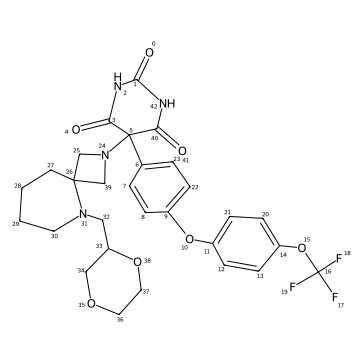 O=C1NC(=O)C(c2ccc(Oc3ccc(OC(F)(F)F)cc3)cc2)(N2CC3(CCCCN3CC3COCCO3)C2)C(=O)N1